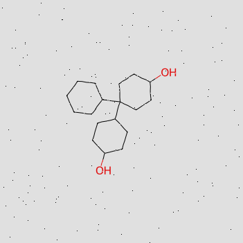 OC1CCC(C2(C3CCCCC3)CCC(O)CC2)CC1